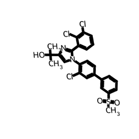 CC(C)(O)c1cn(-c2ccc(-c3cccc(S(C)(=O)=O)c3)cc2Cl)c(-c2cccc(Cl)c2Cl)n1